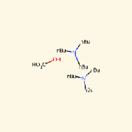 CCCCN(CCCC)CCCC.CCCCN(CCCC)CCCC.O=C(O)O